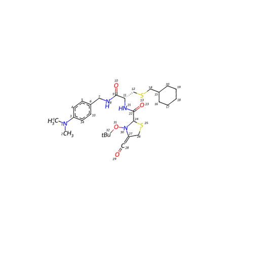 CN(C)c1ccc(CNC(=O)[C@H](CSCC2CCCCC2)NC(=O)C2SCC(=C=O)N2OC(C)(C)C)cc1